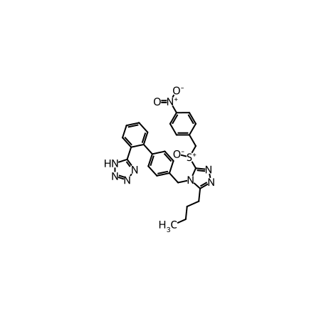 CCCCc1nnc([S+]([O-])Cc2ccc([N+](=O)[O-])cc2)n1Cc1ccc(-c2ccccc2-c2nnn[nH]2)cc1